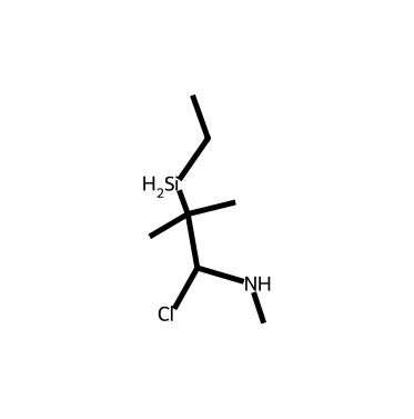 CC[SiH2]C(C)(C)C(Cl)NC